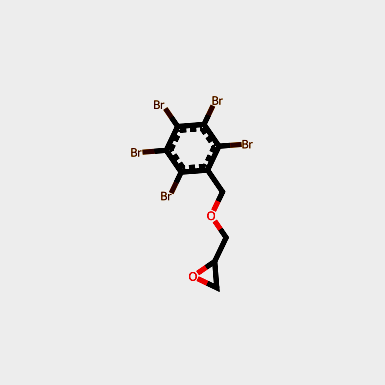 Brc1c(Br)c(Br)c(COCC2CO2)c(Br)c1Br